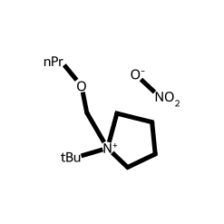 CCCOC[N+]1(C(C)(C)C)CCCC1.O=[N+]([O-])[O-]